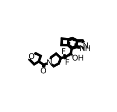 O=C(C1CCOCC1)N1CCC(C(F)(F)[C@H](O)c2c3c(cc4cn[nH]c24)CC3)CC1